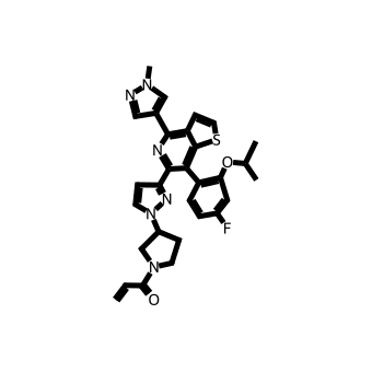 C=CC(=O)N1CCC(n2ccc(-c3nc(-c4cnn(C)c4)c4ccsc4c3-c3ccc(F)cc3OC(C)C)n2)C1